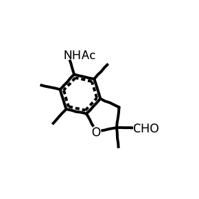 CC(=O)Nc1c(C)c(C)c2c(c1C)CC(C)(C=O)O2